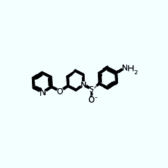 Nc1ccc([S+]([O-])N2CCCC(Oc3ccccn3)C2)cc1